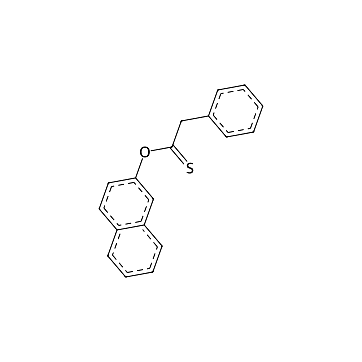 S=C(Cc1ccccc1)Oc1ccc2ccccc2c1